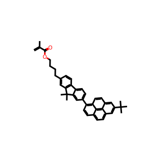 C=C(C)C(=O)OCCCCc1ccc2c(c1)C(C)(C)c1cc(-c3ccc4ccc5cc(C(C)(C)C)cc6ccc3c4c56)ccc1-2